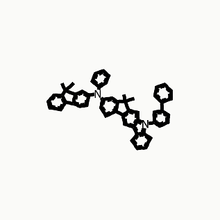 CC1(C)c2ccccc2-c2ccc(N(c3ccccc3)c3ccc4c(c3)C(C)(C)c3cc5c(cc3-4)c3ccccc3n5-c3cccc(-c4ccccc4)c3)cc21